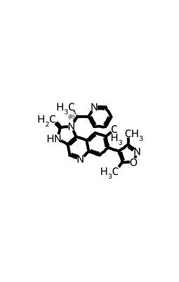 C=C1Nc2cnc3cc(-c4c(C)noc4C)c(C)cc3c2N1[C@H](C)c1ccccn1